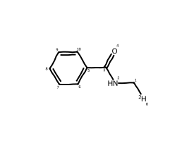 [2H]CNC(=O)c1ccccc1